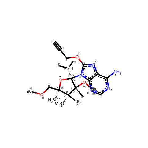 C#CCOc1nc2c(N)ncnc2n1[C@]1([SiH](C)C)O[C@]([SiH3])(COC(C)(C)C)[C@](OC)(C(C)(C)C)[C@@]1(C)OC(C)(C)C